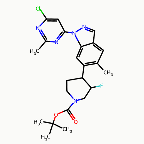 Cc1nc(Cl)cc(-n2ncc3cc(C)c(C4CCN(C(=O)OC(C)(C)C)CC4F)cc32)n1